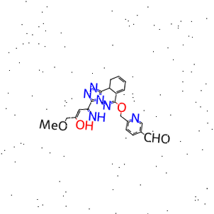 COC/C(O)=C/C(=N)c1nnc2n1N=C(OCc1ccc(C=O)cn1)C1=CC=CCC12